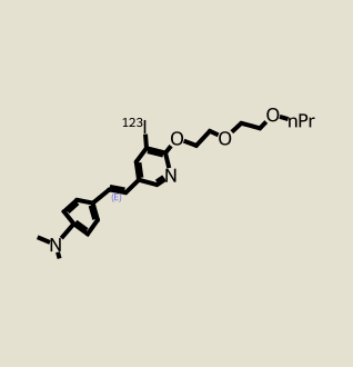 CCCOCCOCCOc1ncc(/C=C/c2ccc(N(C)C)cc2)cc1[123I]